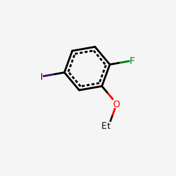 CCOc1cc(I)ccc1F